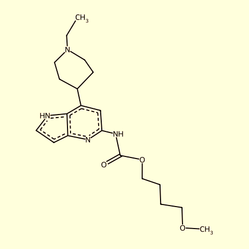 CCN1CCC(c2cc(NC(=O)OCCCCOC)nc3cc[nH]c23)CC1